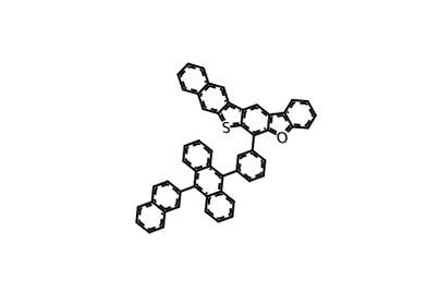 c1cc(-c2c3ccccc3c(-c3ccc4ccccc4c3)c3ccccc23)cc(-c2c3oc4ccccc4c3cc3c2sc2cc4ccccc4cc23)c1